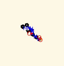 CN(C1CCN(C2CCN(C(=O)c3ncnc(NC[C@H]4CCC[C@@H](c5ccccc5)C4)c3C3CC3)CC2)CC1)S(C)(=O)=O